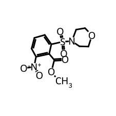 COC(=O)c1c([N+](=O)[O-])cccc1S(=O)(=O)N1CCOCC1